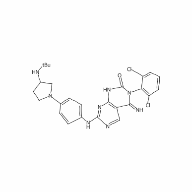 CC(C)(C)NC1CCN(c2ccc(Nc3ncc4c(=N)n(-c5c(Cl)cccc5Cl)c(=O)[nH]c4n3)cc2)C1